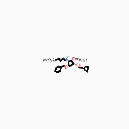 CCCCCCCCO[C@H]1[C@H](N(C)CCCCCC(=O)OCC)[C@@H](OCc2ccccc2)C[C@H]1OCc1ccccc1